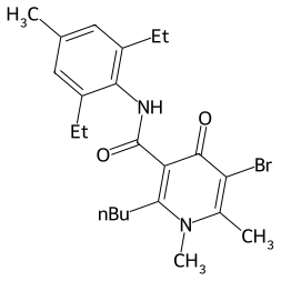 CCCCc1c(C(=O)Nc2c(CC)cc(C)cc2CC)c(=O)c(Br)c(C)n1C